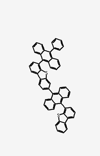 c1ccc(-c2c3ccccc3c(-c3cccc4c3sc3cc(-c5c6ccccc6c(-c6cccc7c6sc6ccccc67)c6ccccc56)ccc34)c3ccccc23)cc1